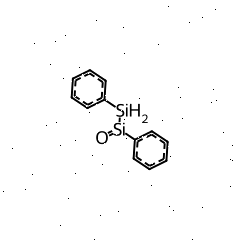 O=[Si]([SiH2]c1ccccc1)c1ccccc1